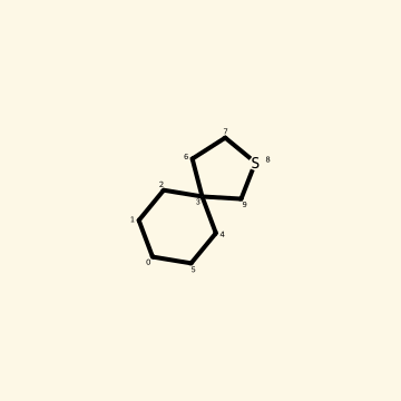 C1CCC2(CC1)CCSC2